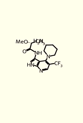 CO[C@H](C)C(=O)Nc1c[nH]c2ncc(C(F)(F)F)c(N3CCC[C@@H](N)C3)c12